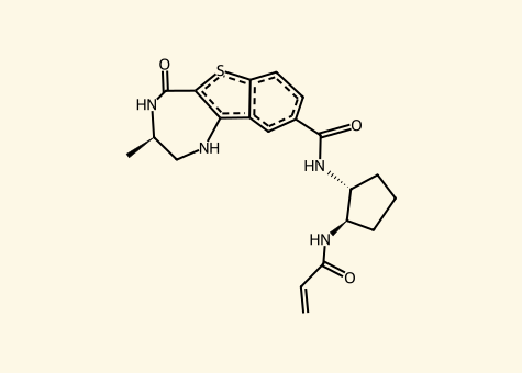 C=CC(=O)N[C@@H]1CCC[C@H]1NC(=O)c1ccc2sc3c(c2c1)NC[C@@H](C)NC3=O